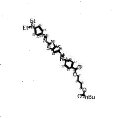 CCCCC(=O)OCCCCOC(=O)c1ccc(/N=N/c2cc3sc(/N=N/c4ccc(N(CC)CC)cc4)nc3s2)cc1